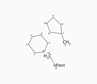 C1CCCCC1.CC1CCCC1.CCCCCC